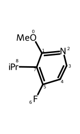 COc1nccc(F)c1C(C)C